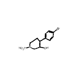 O=C(O)N1CCC(c2ccc(Br)cc2)C(O)C1